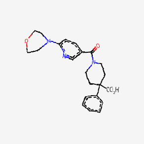 O=C(c1ccc(N2CCOCC2)nc1)N1CCC(C(=O)O)(c2ccccc2)CC1